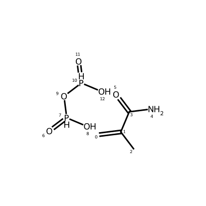 C=C(C)C(N)=O.O=[PH](O)O[PH](=O)O